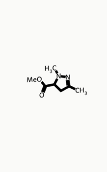 COC(=O)C1CC(C)=NN1C